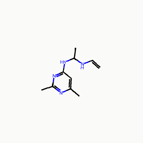 C=CNC(C)Nc1cc(C)nc(C)n1